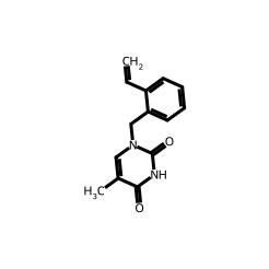 C=Cc1ccccc1Cn1cc(C)c(=O)[nH]c1=O